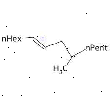 [CH2]CCCCC/C=C/CC(C)CCCC[CH2]